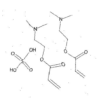 C=CC(=O)OCCN(C)C.C=CC(=O)OCCN(C)C.O=S(=O)(O)O